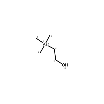 C[As+](C)(C)CCO